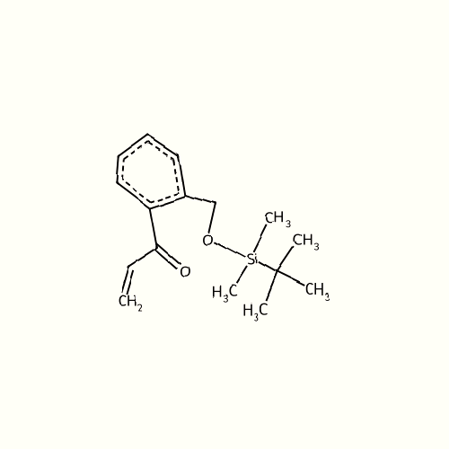 C=CC(=O)c1ccccc1CO[Si](C)(C)C(C)(C)C